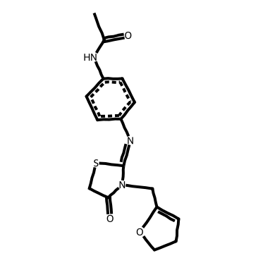 CC(=O)Nc1ccc(/N=C2\SCC(=O)N2CC2=CCCO2)cc1